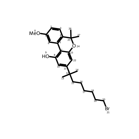 COc1ccc2c(c1)-c1c(O)cc(C(C)(C)CCCCCCBr)cc1OC2(C)C